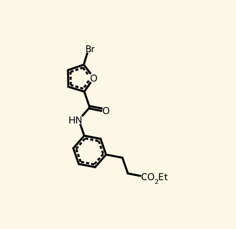 CCOC(=O)CCc1cccc(NC(=O)c2ccc(Br)o2)c1